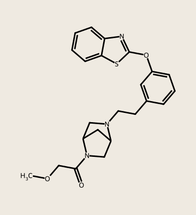 COCC(=O)N1CC2CC1CN2CCc1cccc(Oc2nc3ccccc3s2)c1